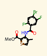 COC(=O)c1scc(C)c1NC(=O)c1cc(F)c(Br)cc1F